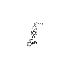 CCCCCC1CCC(c2ccc(OCCCC3CCCCC3CCC)cc2)CC1